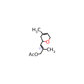 CC(=O)OC/C(C)=C/C1CC(C)=CCO1